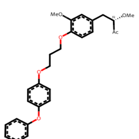 COc1cc(C[C@H](OC)C(C)=O)ccc1OCCCOc1ccc(Oc2ccccc2)cc1